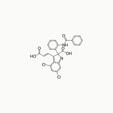 O=C(O)C=CC1=c2c(Cl)cc(Cl)cc2=NC1(C(=O)O)c1ccccc1NC(=O)c1ccccc1